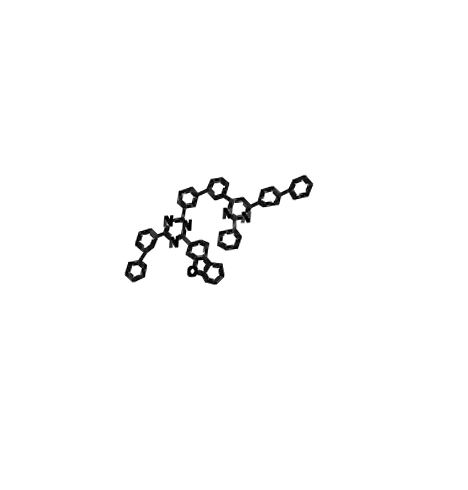 c1ccc(-c2ccc(-c3cc(-c4cccc(-c5cccc(-c6nc(-c7cccc(-c8ccccc8)c7)nc(-c7ccc8c(c7)oc7ccccc78)n6)c5)c4)nc(-c4ccccc4)n3)cc2)cc1